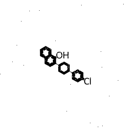 Oc1c2ccccc2ccc1[C@H]1CC[C@@H](c2ccc(Cl)cc2)CC1